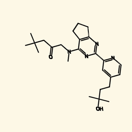 CN(CC(=O)CC(C)(C)C)c1nc(-c2cc(CCC(C)(C)O)ccn2)nc2c1CCC2